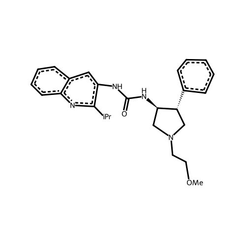 COCCN1C[C@@H](NC(=O)Nc2cc3ccccc3nc2C(C)C)[C@H](c2ccccc2)C1